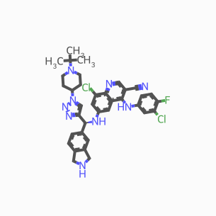 CC(C)(C)N1CCC(n2cc([C@@H](Nc3cc(Cl)c4ncc(C#N)c(Nc5ccc(F)c(Cl)c5)c4c3)c3ccc4c(c3)CNC4)nn2)CC1